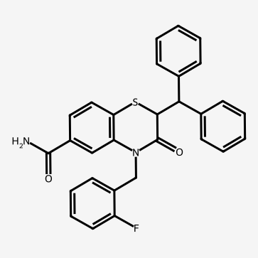 NC(=O)c1ccc2c(c1)N(Cc1ccccc1F)C(=O)C(C(c1ccccc1)c1ccccc1)S2